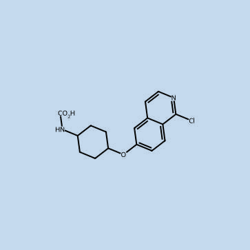 O=C(O)NC1CCC(Oc2ccc3c(Cl)nccc3c2)CC1